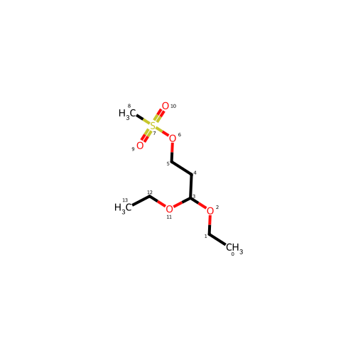 CCOC(CCOS(C)(=O)=O)OCC